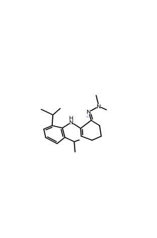 CC(C)c1cccc(C(C)C)c1NC1=CCCC/C1=N\N(C)C